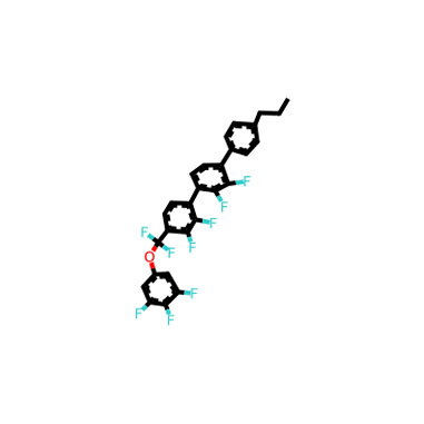 CCCc1ccc(-c2ccc(-c3ccc(C(F)(F)Oc4cc(F)c(F)c(F)c4)c(F)c3F)c(F)c2F)cc1